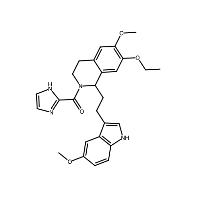 CCOc1cc2c(cc1OC)CCN(C(=O)c1ncc[nH]1)C2CCc1c[nH]c2ccc(OC)cc12